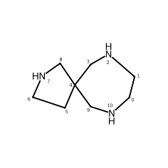 C1CNCC2(CCNC2)CN1